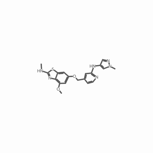 CNc1nc2c(OC)cc(OCc3ccnc(Nc4cnn(C)c4)c3)cc2s1